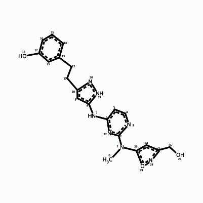 CN(c1nccc(Nc2cc(CCc3cccc(O)c3)n[nH]2)n1)c1cc(CO)no1